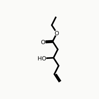 C=CCC(O)CC(=O)OCC